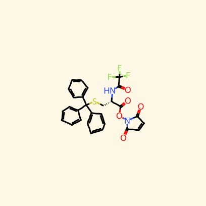 O=C(ON1C(=O)C=CC1=O)[C@H](CSC(c1ccccc1)(c1ccccc1)c1ccccc1)NC(=O)C(F)(F)F